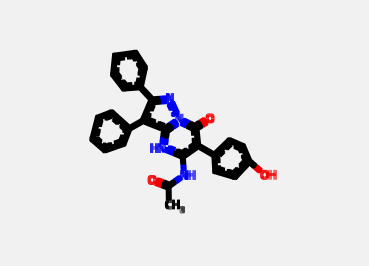 CC(=O)Nc1[nH]c2c(-c3ccccc3)c(-c3ccccc3)nn2c(=O)c1-c1ccc(O)cc1